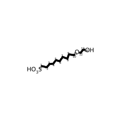 O=S(=O)(O)CCCCCCCCCCOCCO